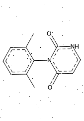 Cc1cccc(C)c1-n1c(=O)cc[nH]c1=O